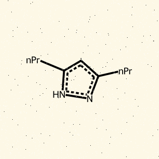 CCCc1[c]c(CCC)[nH]n1